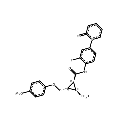 COc1ccc(OC[C@@H]2[C@@H](C(=O)Nc3ccc(-n4ccccc4=O)cc3F)[C@H]2C(=O)O)cc1